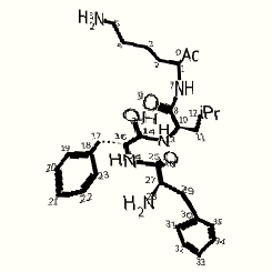 CC(=O)[C@@H](CCCCN)NC(=O)[C@@H](CC(C)C)NC(O)[C@@H](Cc1ccccc1)NC(=O)[C@H](N)Cc1ccccc1